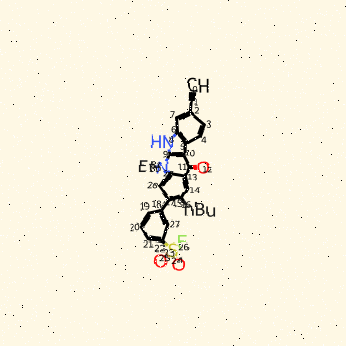 C#Cc1ccc2c(c1)[nH]c1c2c(=O)c2cc(CCCC)c(-c3cccc(S(=O)(=O)F)c3)cc2n1CC